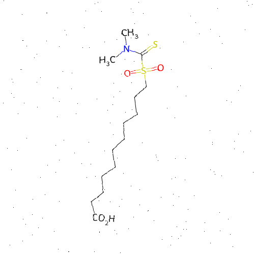 CN(C)C(=S)S(=O)(=O)CCCCCCCCCCC(=O)O